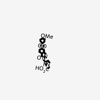 COc1ccc(S(=O)(=O)c2ccc3c(=O)n(Cc4ccn(CC(=O)O)n4)ncc3c2)cc1